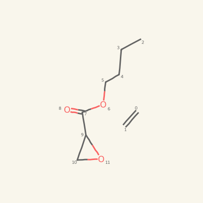 C=C.CCCCOC(=O)C1CO1